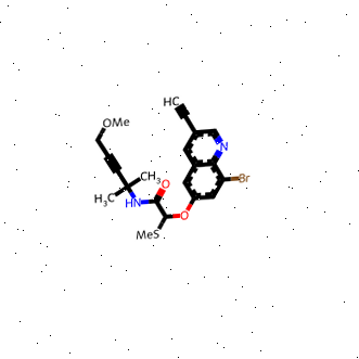 C#Cc1cnc2c(Br)cc(OC(SC)C(=O)NC(C)(C)C#CCOC)cc2c1